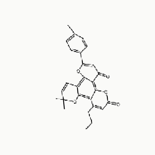 CCCc1[c]c(=O)oc2c1c1c(c3oc(-c4ccc(C)cc4)cc(=O)c32)C=CC(C)(C)O1